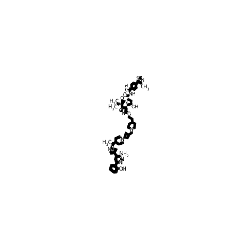 Cc1ncsc1-c1ccc([C@H](C)NC(=O)[C@@H]2C[C@@H](O)CN2C(=O)[C@H](c2cc(OCCC3CCN(CC4CC(N5CCC(C(C)n6cc(-c7cc(-c8ccccc8O)nnc7N)cn6)CC5)C4)CC3)no2)C(C)C)cc1